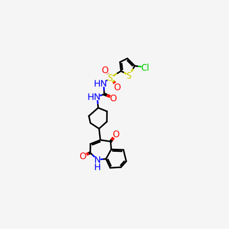 O=C(NC1CCC(c2cc(=O)[nH]c3ccccc3c2=O)CC1)NS(=O)(=O)c1ccc(Cl)s1